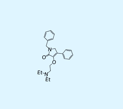 CCN(CC)CCOC1=C(c2ccccc2)CN(Cc2ccccc2)C1=O